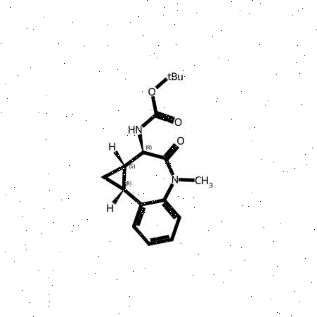 CN1C(=O)[C@H](NC(=O)OC(C)(C)C)[C@H]2C[C@H]2c2ccccc21